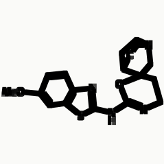 COc1ccc2nc(NC3=NCCC4(CN5CCC4CC5)O3)sc2c1